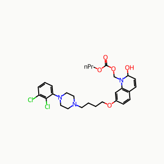 CCCOC(=O)OCN1c2cc(OCCCCN3CCN(c4cccc(Cl)c4Cl)CC3)ccc2C=CC1O